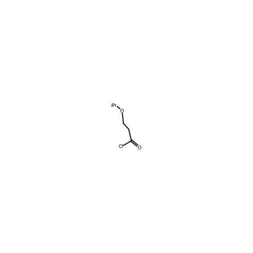 CC(C)OCCC(=O)Cl